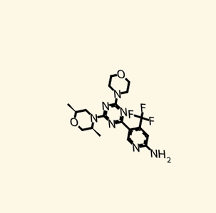 C[C@H]1CN(c2nc(-c3cnc(N)cc3C(F)(F)F)nc(N3CCOCC3)n2)[C@@H](C)CO1